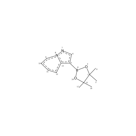 CC1(C)OB(c2cnn3ccccc23)OC1(C)C